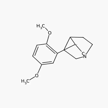 COc1ccc(OC)c([C]2[CH]N3CCC2CC3)c1